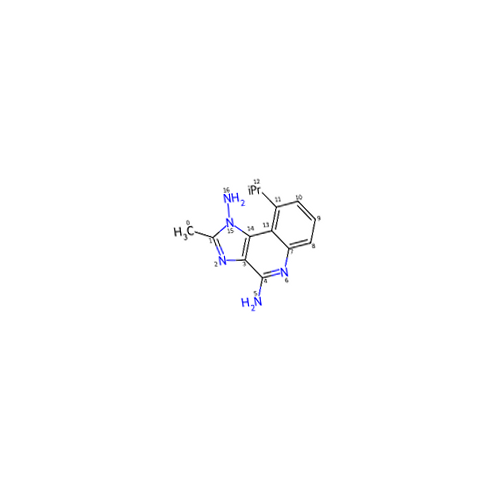 Cc1nc2c(N)nc3cccc(C(C)C)c3c2n1N